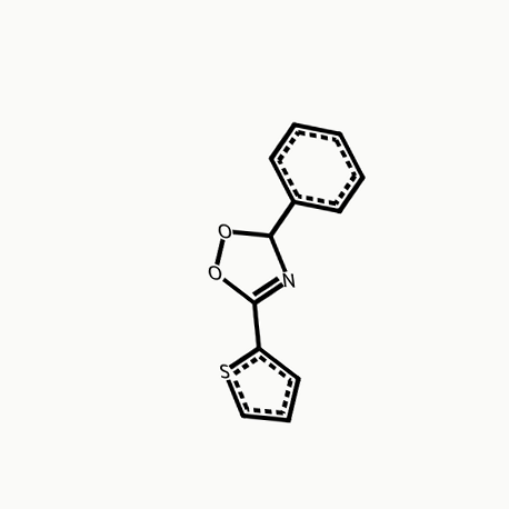 c1ccc(C2N=C(c3cccs3)OO2)cc1